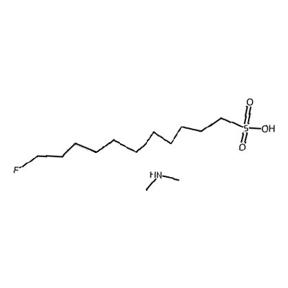 CNC.O=S(=O)(O)CCCCCCCCCCCF